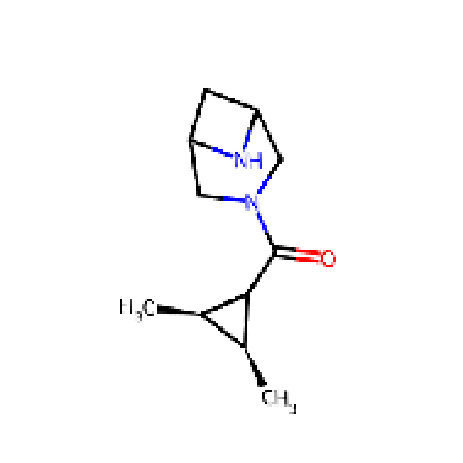 C[C@@H]1C(C(=O)N2CC3CC(C2)N3)[C@@H]1C